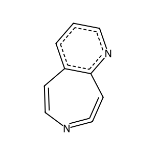 C1=Cc2ncccc2C=CN=1